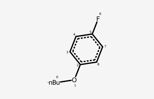 CCC[CH]Oc1ccc(F)cc1